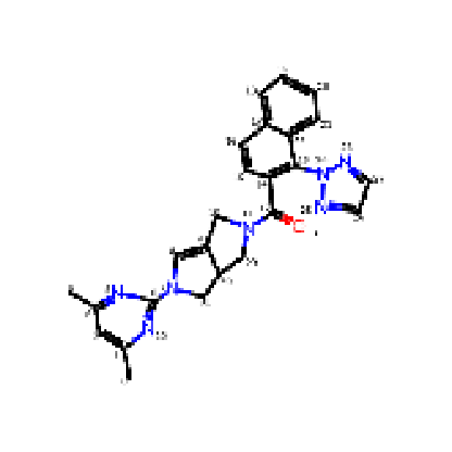 Cc1cc(C)nc(N2C=C3CN(C(=O)c4ccc5ccccc5c4-n4nccn4)CC3C2)n1